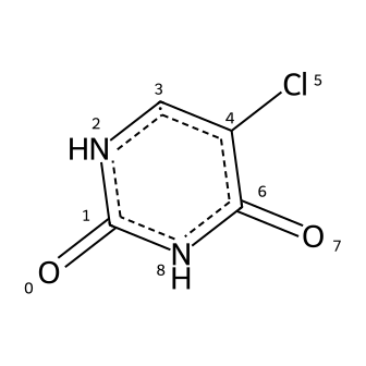 O=c1[nH][c]c(Cl)c(=O)[nH]1